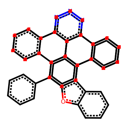 c1ccc(-c2ccccc2-c2c(-c3ccccc3)nnnc2-c2ccccc2-c2c(-c3ccccc3)c(-c3ccccc3-c3nnnc(-c4ccccc4)c3-c3ccccc3)c3c(oc4ccccc43)c2-c2ccccc2)cc1